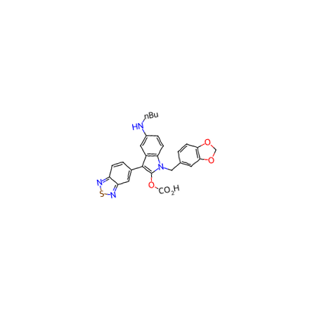 CCCCNc1ccc2c(c1)c(-c1ccc3nsnc3c1)c(OC(=O)O)n2Cc1ccc2c(c1)OCO2